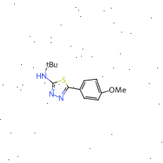 COc1ccc(-c2nnc(NC(C)(C)C)s2)cc1